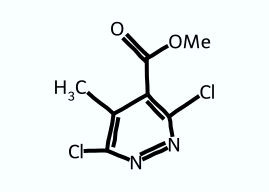 COC(=O)c1c(Cl)nnc(Cl)c1C